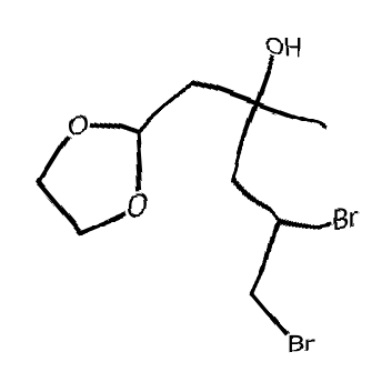 CC(O)(CC(Br)CBr)CC1OCCO1